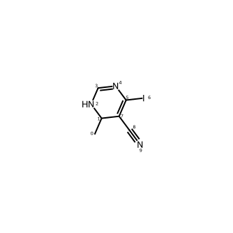 CC1NC=NC(I)=C1C#N